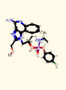 CCOCc1nc2c(N)nc3ccccc3c2n1C[C@@H](C)OP(=O)(N[C@@H](C)C(C)C)Oc1ccc(Cl)cc1